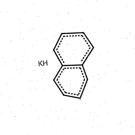 [KH].[c]1ccc2ccccc2c1